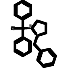 ClC(c1ccccc1)(c1ccccc1)[C@@H]1CCCN1Cc1ccccc1